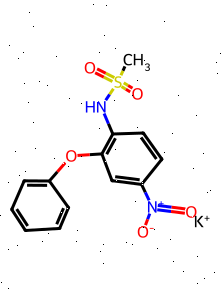 CS(=O)(=O)Nc1ccc([N+](=O)[O-])cc1Oc1ccccc1.[K+]